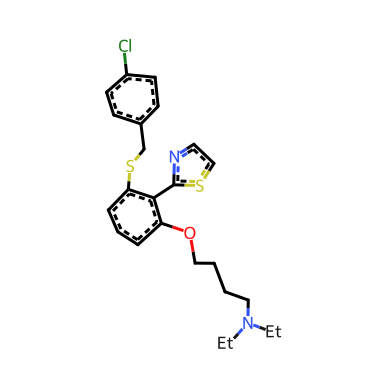 CCN(CC)CCCCOc1cccc(SCc2ccc(Cl)cc2)c1-c1nccs1